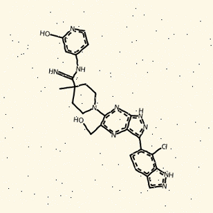 CC1(C(=N)Nc2ccnc(O)c2)CCN(c2nc3[nH]nc(-c4ccc5cn[nH]c5c4Cl)c3nc2CO)CC1